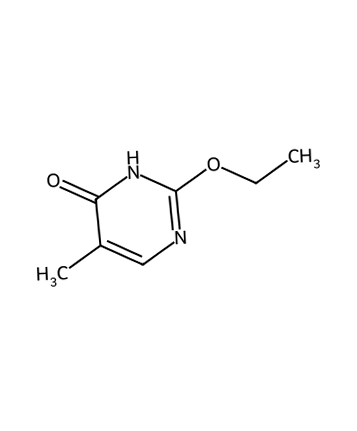 CCOc1ncc(C)c(=O)[nH]1